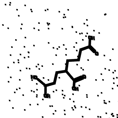 O=C(O)CCCC(CCC(O)O)C(=O)O